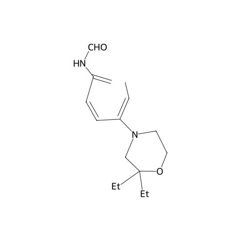 C=C(/C=C\C(=C/C)N1CCOC(CC)(CC)C1)NC=O